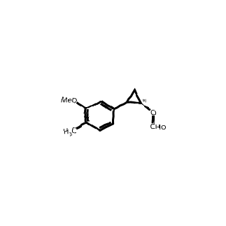 COc1cc(C2C[C@H]2OC=O)ccc1C